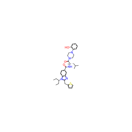 CCC(CC)n1c(Cc2cccs2)nc2cc(C(=O)N[C@@H](CC(C)C)C(=O)N3CCN(c4ccccc4O)CC3)ccc21